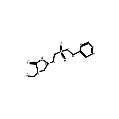 CC(C)CN1C[C@H](CCS(=O)(=O)CCc2ccccc2)OC1=O